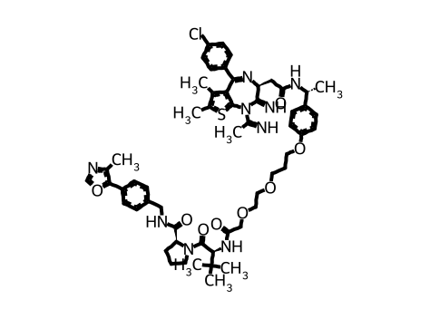 CC(=N)N1C(=N)[C@H](CC(=O)N[C@H](C)c2ccc(OCCCOCCOCC(=O)N[C@H](C(=O)N3CCC[C@H]3C(=O)NCc3ccc(-c4ocnc4C)cc3)C(C)(C)C)cc2)N=C(c2ccc(Cl)cc2)c2c1sc(C)c2C